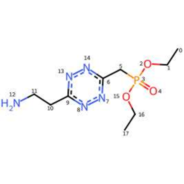 CCOP(=O)(Cc1nnc(CCN)nn1)OCC